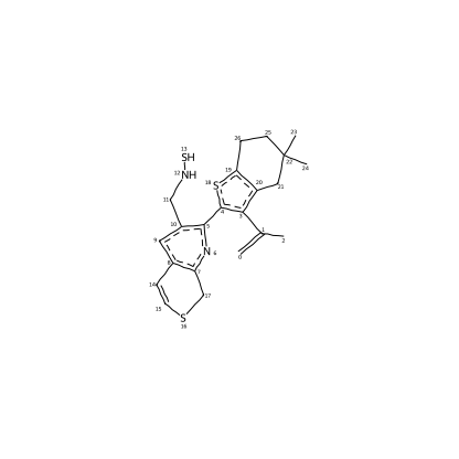 C=C(C)c1c(-c2nc3c(cc2CNS)C=CSC3)sc2c1CC(C)(C)CC2